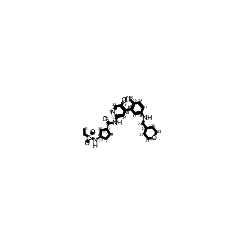 CCS(=O)(=O)N[C@@H]1CC[C@H](C(=O)Nc2cc(-c3cc(NCC4CCOCC4)ccc3Cl)c(Cl)cn2)C1